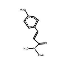 COc1ccc(/C=C/C(=O)N(C)OC)cc1